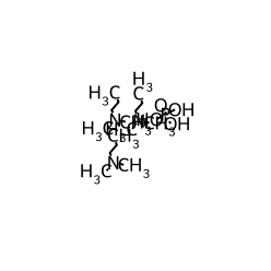 CCCN(C)C.CCCN(C)C.CCCN(C)C.O=P(O)(O)O